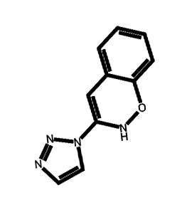 C1=C(n2ccnn2)NOc2ccccc21